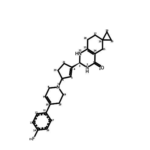 O=C1N[C@@H](C2=CC(N3CC=C(c4ccc(F)cc4)CC3)CC2)NC2=C1CC1(CC2)CC1